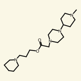 CN1CCC(N2CCN(CC(=O)OCCCN3CCCCC3)CC2)CC1